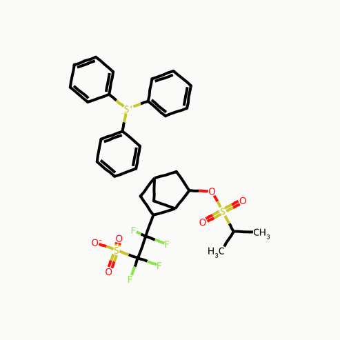 CC(C)S(=O)(=O)OC1CC2CC1C(C(F)(F)C(F)(F)S(=O)(=O)[O-])C2.c1ccc([S+](c2ccccc2)c2ccccc2)cc1